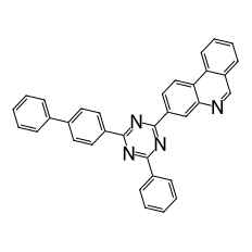 c1ccc(-c2ccc(-c3nc(-c4ccccc4)nc(-c4ccc5c(c4)ncc4ccccc45)n3)cc2)cc1